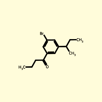 CCCC(=O)c1cc(Br)cc(C(C)CC)c1